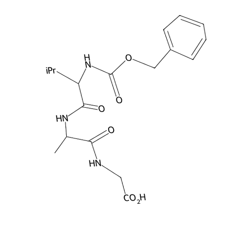 CC(NC(=O)C(NC(=O)OCc1ccccc1)C(C)C)C(=O)NCC(=O)O